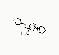 CC(C)(CCC1CCOCC1)OC(=O)N1CCCCC1